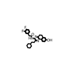 O=C(Cc1ccc(F)c(F)c1)Nc1nc2c(nc1CCC1CCCCC1)-c1ccc(O)cc1CC2